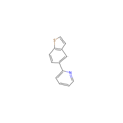 [c]1c(-c2ccccn2)ccc2sccc12